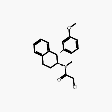 COc1cccc([C@H]2c3ccccc3CC[C@@H]2N(C)C(=O)CCl)c1